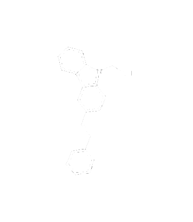 CCn1c2ccccc2c2cc(/C=C/c3ccccc3)ccc21